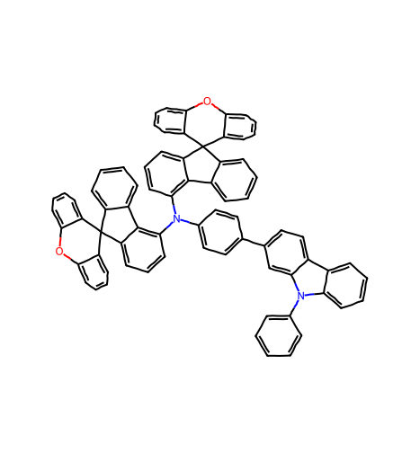 c1ccc(-n2c3ccccc3c3ccc(-c4ccc(N(c5cccc6c5-c5ccccc5C65c6ccccc6Oc6ccccc65)c5cccc6c5-c5ccccc5C65c6ccccc6Oc6ccccc65)cc4)cc32)cc1